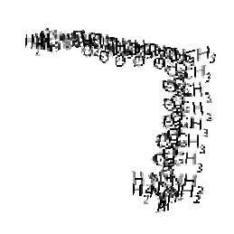 CC(=O)[O-].CC(=O)[O-].CC(=O)[O-].CC(=O)[O-].CC(=O)[O-].CC(=O)[O-].CC(=O)[O-].CC(=O)[O-].CC(=O)[O-].CC(=O)[O-].CC(=O)[O-].CC(=O)[O-].NCCN.NCCN.NCCN.[Al+3].[Al+3].[Al+3].[Al+3]